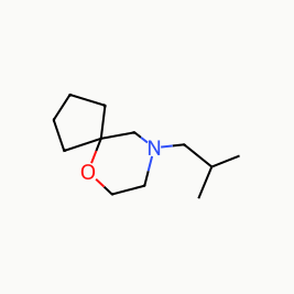 CC(C)CN1CCOC2(CCCC2)C1